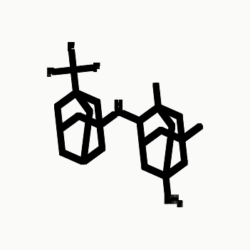 CC12CC3CC(N)(C1)CC(C)(C2)C3NC12CC3CC(C1)CC(C(F)(F)F)(C3)C2